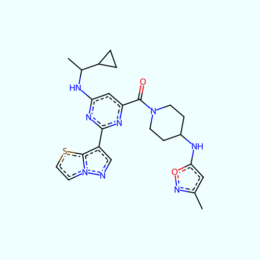 Cc1cc(NC2CCN(C(=O)c3cc(NC(C)C4CC4)nc(-c4cnn5ccsc45)n3)CC2)on1